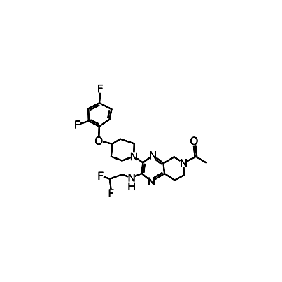 CC(=O)N1CCc2nc(NCC(F)F)c(N3CCC(Oc4ccc(F)cc4F)CC3)nc2C1